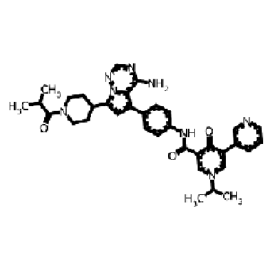 CC(C)C(=O)N1CCC(c2cc(-c3ccc(NC(=O)c4cn(C(C)C)cc(-c5cccnc5)c4=O)cc3)c3c(N)ncnn23)CC1